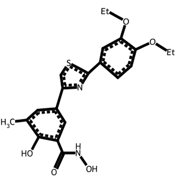 CCOc1ccc(-c2nc(-c3cc(C)c(O)c(C(=O)NO)c3)cs2)cc1OCC